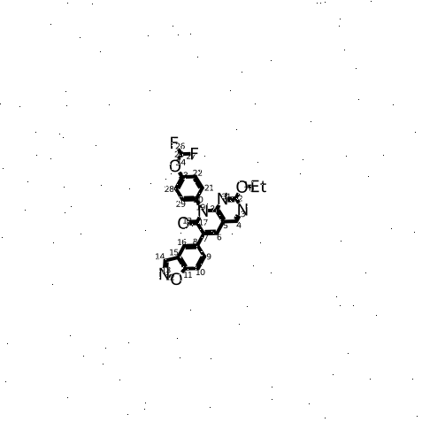 CCOc1ncc2cc(-c3ccc4oncc4c3)c(=O)n(-c3ccc(OC(F)F)cc3)c2n1